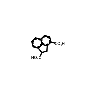 O=C(O)c1ccc2cccc3c2c1CC3C(=O)O